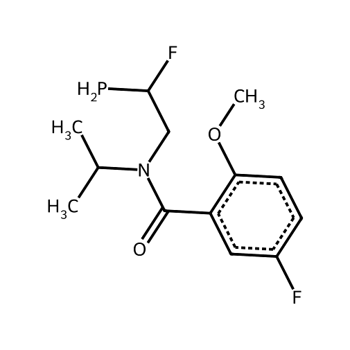 COc1ccc(F)cc1C(=O)N(CC(F)P)C(C)C